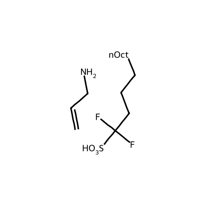 C=CCN.CCCCCCCCCCCC(F)(F)S(=O)(=O)O